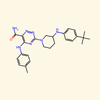 Cc1ccc(Nc2nc(N3CCCC(Nc4ccc(C(C)(C)C)cc4)C3)nnc2C(N)=O)cc1